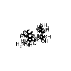 CCC(CC)[C@H](NC(C)=O)C1C(NC(=N)N)C[C@H](C(=O)OC[C@@H]2N[C@@H](c3c[nH]c4c(N)ncnc34)[C@@H](O)[C@@H]2O)C1O